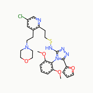 COc1cccc(OC)c1-n1c(NSCCc2ncc(Cl)cc2CCN2CCOCC2)nnc1-c1ccco1